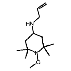 C=CCNC1CC(C)(C)N(OC)C(C)(C)C1